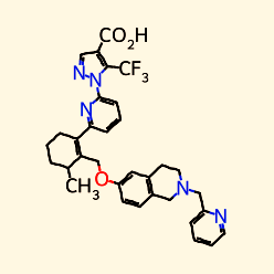 CC1CCCC(c2cccc(-n3ncc(C(=O)O)c3C(F)(F)F)n2)=C1COc1ccc2c(c1)CCN(Cc1ccccn1)C2